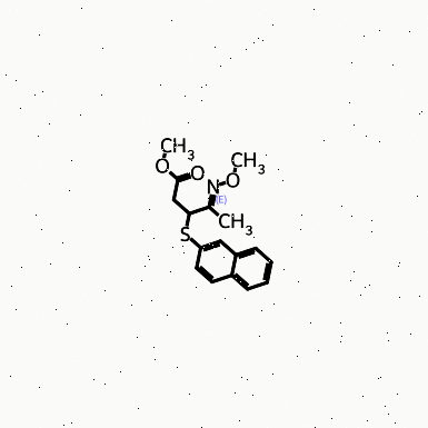 CO/N=C(\C)C(CC(=O)OC)Sc1ccc2ccccc2c1